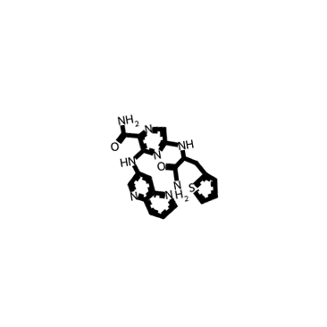 NC(=O)c1ncc(NC(Cc2cccs2)C(N)=O)nc1Nc1cnc2cccnc2c1